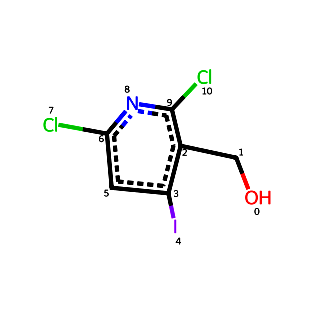 OCc1c(I)cc(Cl)nc1Cl